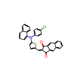 O=C1C(=Cc2ccc(N(c3ccc(Cl)cc3)c3cccc4ccccc34)s2)C(=O)c2cc3ccccc3cc21